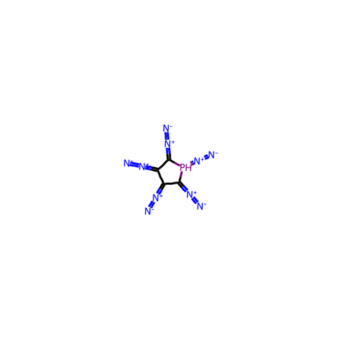 [N-]=[N+]=C1C(=[N+]=[N-])C(=[N+]=[N-])[PH](=[N+]=[N-])C1=[N+]=[N-]